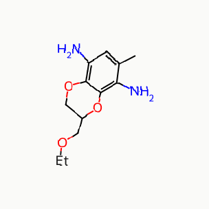 CCOCC1COc2c(N)cc(C)c(N)c2O1